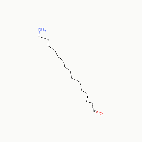 NCCCCCCCCCCCCCCC=O